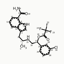 C[C@H](Cc1c[nH]c2c(C(N)=O)cccc12)NC[C@@H](OC(=O)C(F)(F)F)c1cccc(Cl)c1